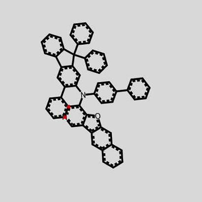 c1ccc(-c2ccc(N(c3cc4c(cc3-c3ccccc3)-c3ccccc3C4(c3ccccc3)c3ccccc3)c3cncc4c3oc3cc5ccccc5cc34)cc2)cc1